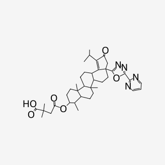 CC(C)C1=C2C3CCC4C(C)(CCC5C(C)C(OC(=O)CC(C)(C)C(=O)O)CCC54C)C3CCC2(c2nnc(-c3ncccn3)o2)CC1=O